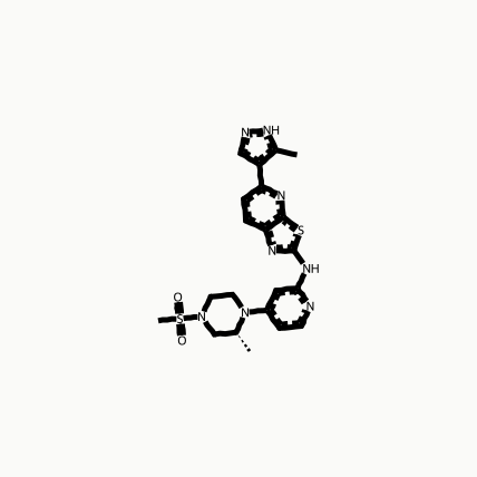 Cc1[nH]ncc1-c1ccc2nc(Nc3cc(N4CCN(S(C)(=O)=O)C[C@H]4C)ccn3)sc2n1